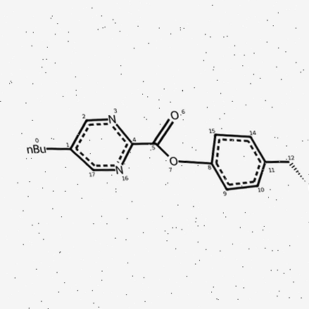 CCCCc1cnc(C(=O)Oc2ccc(C[C@@H](C)CC)cc2)nc1